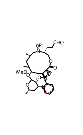 CCCN1C[C@H](C)C[C@@](C)(OC)[C@H](O[C@@H]2O[C@H](C)C[C@H](N(C)C)[C@H]2OC(=O)c2ccccc2)[C@@H](C)C(=O)C(C)(C)C(=O)OC[C@H]1CCC=O